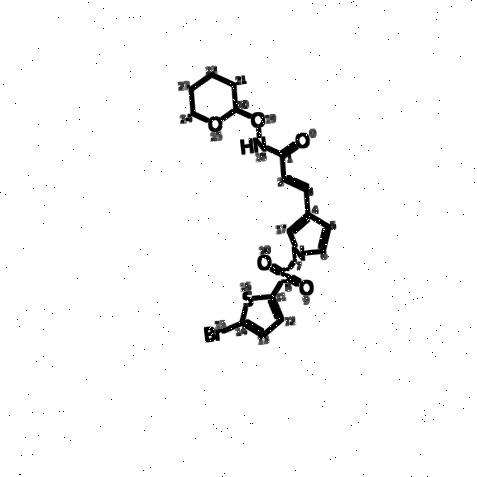 O=C(/C=C/c1ccn(S(=O)(=O)c2ccc(Br)s2)c1)NOC1CCCCO1